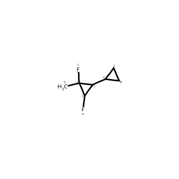 [CH2]C1(F)C(F)C1C1CC1